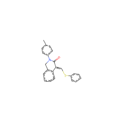 Cc1ccc(N2Cc3ccccc3/C(=C\Sc3ccccc3)C2=O)cc1